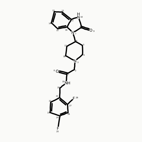 O=C(CN1CCC(n2c(=O)[nH]c3ccccc32)CC1)NCc1ccc(F)cc1F